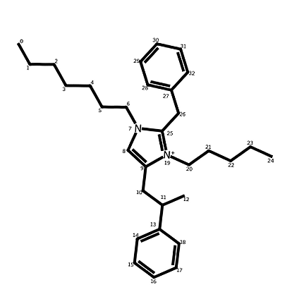 CCCCCCCn1cc(CC(C)c2ccccc2)[n+](CCCCC)c1Cc1ccccc1